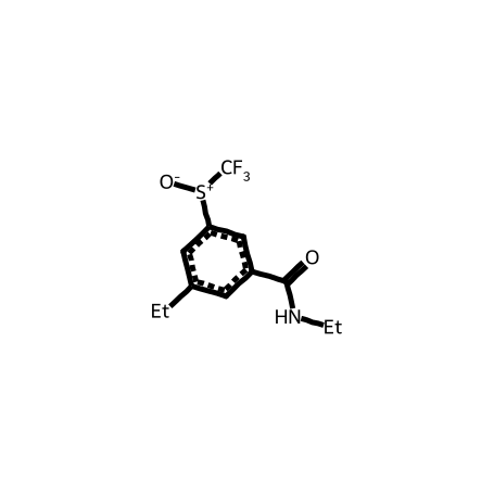 CCNC(=O)c1cc(CC)cc([S+]([O-])C(F)(F)F)c1